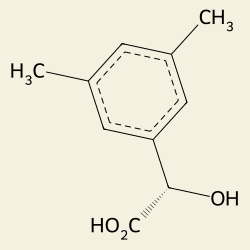 Cc1cc(C)cc([C@H](O)C(=O)O)c1